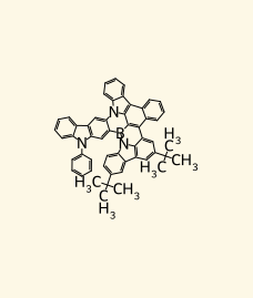 CC(C)(C)c1ccc2c(c1)c1cc(C(C)(C)C)cc3c1n2B1c2cc4c(cc2-n2c5ccccc5c5c6ccccc6c-3c1c52)c1ccccc1n4-c1ccccc1